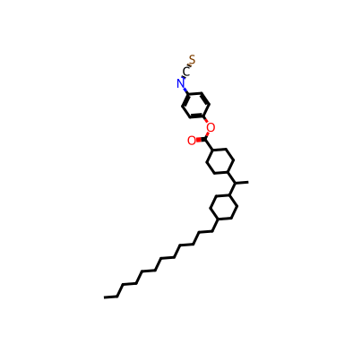 CCCCCCCCCCCCC1CCC(C(C)C2CCC(C(=O)Oc3ccc(N=C=S)cc3)CC2)CC1